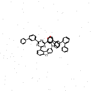 c1ccc(-c2cccc(-c3nc(-c4cccc(-c5ccccc5)c4)nc(-c4cccc5oc6ccc(-n7c8ccccc8c8cc(-c9ccccc9-c9ccccc9)ccc87)cc6c45)n3)c2)cc1